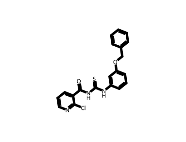 O=C(NC(=S)Nc1cccc(OCc2ccccc2)c1)c1cccnc1Cl